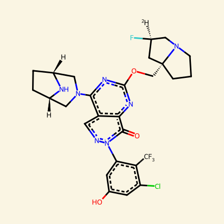 [2H][C@]1(F)CN2CCC[C@@]2(COc2nc(N3C[C@H]4CC[C@@H](C3)N4)c3cnn(-c4cc(O)cc(Cl)c4C(F)(F)F)c(=O)c3n2)C1